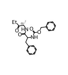 CCC(=O)[C@H](C)NC(=O)C(Cc1ccccc1)NC(=O)OCc1ccccc1